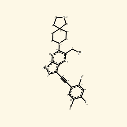 OCc1nc2c(C#Cc3cc(F)c(F)cc3F)n[nH]c2nc1N1CCC2(CCOC2)CC1